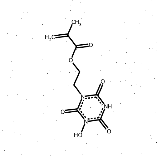 C=C(C)C(=O)OCCn1c(=O)[nH]c(=O)n(O)c1=O